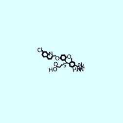 O=C(O)CCSC1c2ccc(-c3nnn[nH]3)cc2COc2ccc(OCc3ccc4ccc(Cl)cc4n3)cc21